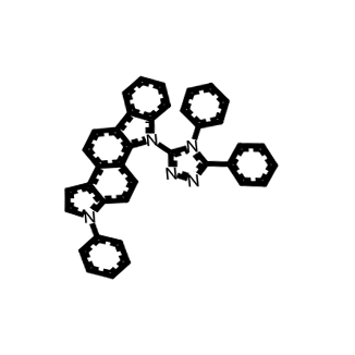 c1ccc(-c2nnc(-n3c4ccccc4c4ccc5c6ccn(-c7ccccc7)c6ccc5c43)n2-c2ccccc2)cc1